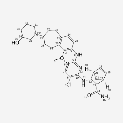 COc1c(Nc2ncc(Cl)c(N[C@H]3[C@@H](C(N)=O)[C@@H]4C=C[C@H]3C4)n2)ccc2c1CCC(N1CCCC(O)C1)CC2